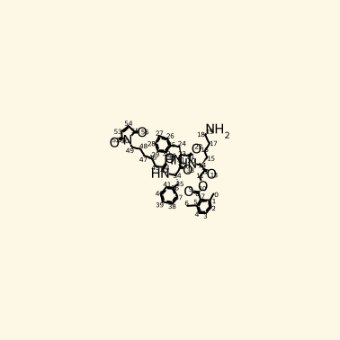 Cc1cccc(C)c1C(=O)OCC(=O)[C@H](CCCCN)NC(=O)[C@H](Cc1ccccc1)NC(=O)[C@H](Cc1ccccc1)NC(=O)CCCCCN1C(=O)C=CC1=O